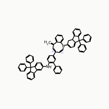 C=C1/C=C(c2ccc(Nc3ccc4c(c3)-c3ccccc3C4(c3ccccc3)c3ccccc3)c(-c3ccccc3)c2)\C=C/N(C2=CC=C3C(C2)c2ccccc2C3(c2ccccc2)c2ccccc2)c2ccccc21